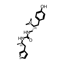 C[C@H](Cc1ccsc1)NC(=O)NC[C@@H](Cc1ccc(O)cc1)N(C)C